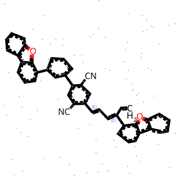 C=C/C(=C\C=C\c1cc(C#N)c(-c2cccc(-c3cccc4c3oc3ccccc34)c2)cc1C#N)c1cccc2c1oc1ccccc12